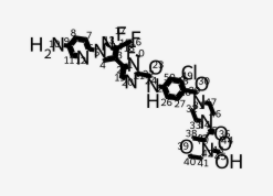 Cn1c(-c2cn(-c3ccc(N)cn3)nc2C(F)(F)F)cnc1C(=O)Nc1ccc(C(=O)N2CCN(C(=O)[C@@H]3COCCN3C(=O)O)CC2)c(Cl)c1